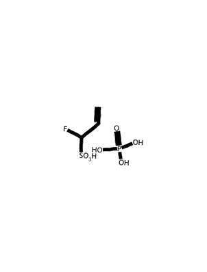 C=CC(F)S(=O)(=O)O.O=P(O)(O)O